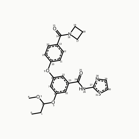 CCC(OC)Oc1cc(Oc2ccc(C(=O)N3CCC3)cc2)cc(C(=O)Nc2nccs2)c1